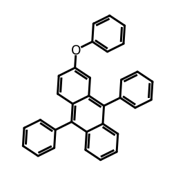 c1ccc(Oc2ccc3c(-c4ccccc4)c4ccccc4c(-c4ccccc4)c3c2)cc1